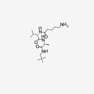 CC(C)[C@H](NC(=O)CCCCN)C(=O)N[C@@H](C)C(=O)NCC(C)(C)C